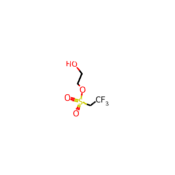 O=S(=O)(CC(F)(F)F)OCCO